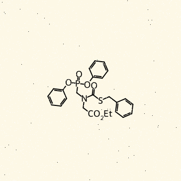 CCOC(=O)CN(CP(=O)(Oc1ccccc1)Oc1ccccc1)C(=O)SCc1ccccc1